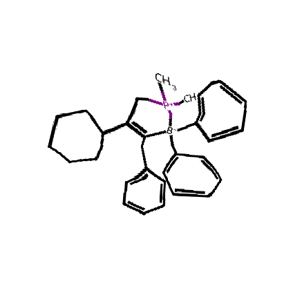 C[P+]1(C)CC(C2CCCCC2)=C(c2ccccc2)[B-]1(c1ccccc1)c1ccccc1